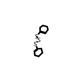 C1=C(SSSC2=CCCCC2)CCCC1